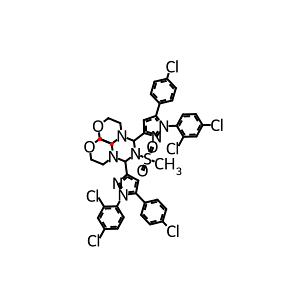 CS(=O)(=O)N(C(c1cc(-c2ccc(Cl)cc2)n(-c2ccc(Cl)cc2Cl)n1)N1CCOCC1)C(c1cc(-c2ccc(Cl)cc2)n(-c2ccc(Cl)cc2Cl)n1)N1CCOCC1